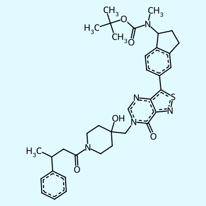 CC(CC(=O)N1CCC(O)(Cn2cnc3c(-c4ccc5c(c4)CCC5N(C)C(=O)OC(C)(C)C)snc3c2=O)CC1)c1ccccc1